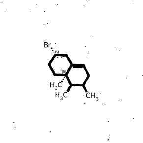 CC1CC=C2C[C@@H](Br)CC[C@]2(C)C1C